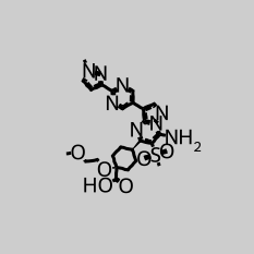 COCCO[C@]1(C(=O)O)CC[C@@H](c2nc3c(-c4cnc(-c5ccn(C)n5)nc4)cnn3c(N)c2S(C)(=O)=O)CC1